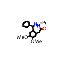 CCCN1N=C(c2ccccc2)c2cc(OC)c(OC)cc2CC1=O